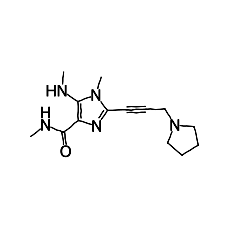 CNC(=O)c1nc(C#CCN2CCCC2)n(C)c1NC